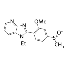 CCn1c(-c2ccc([S+](C)[O-])cc2OC)nc2ncccc21